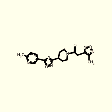 Cc1ccc(-c2nc(C3CCN(C(=O)Cc4nonc4C)CC3)no2)cn1